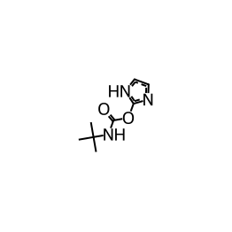 CC(C)(C)NC(=O)Oc1ncc[nH]1